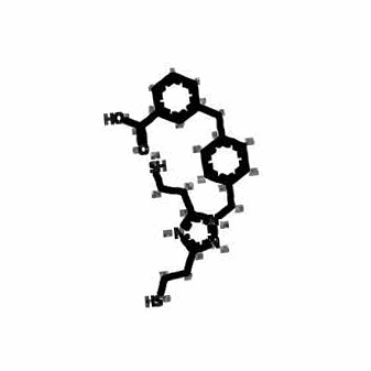 O=C(O)c1cccc(Cc2ccc(Cn3nc(CCS)nc3CCS)cc2)c1